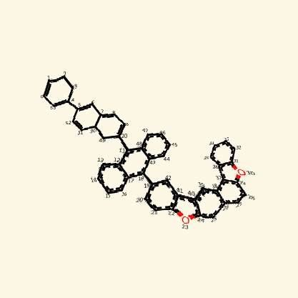 C1=CCCC(C2=CC3=CC=C(c4c5ccccc5c(-c5ccc6oc7cc8ccc9oc%10ccccc%10c9c8cc7c6c5)c5ccccc45)CC3C=C2)=C1